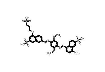 COc1cc(N=Nc2ccc(N)c3cc(S(=O)(=O)O)ccc23)c(OC)cc1N=Nc1ccc2c(OCCCS(=O)(=O)O)cc(S(=O)(=O)O)cc2c1